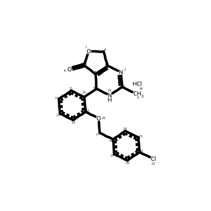 CC1=NC2=C(C(=O)OC2)C(c2ccccc2OCc2ccc(Cl)cc2)N1.Cl